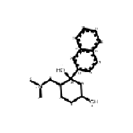 CN(C)CC1CCC(O)CC1(O)c1ccc2ccccc2c1